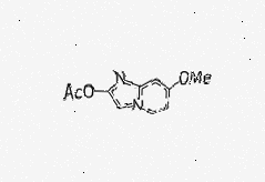 COc1ccn2cc(OC(C)=O)nc2c1